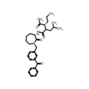 CCC[C@H](C(N)=O)C(CC(C)C)C(=O)N[C@H]1CCCCN(Cc2cccc(C(=O)c3ccccc3)c2)C1=O